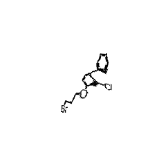 Clc1cc(OCCCBr)ccc1-c1ccccc1